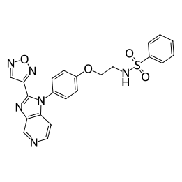 O=S(=O)(NCCOc1ccc(-n2c(-c3cnon3)nc3cnccc32)cc1)c1ccccc1